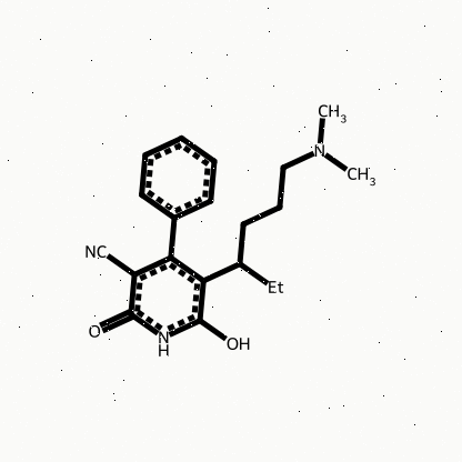 CCC(CCCN(C)C)c1c(O)[nH]c(=O)c(C#N)c1-c1ccccc1